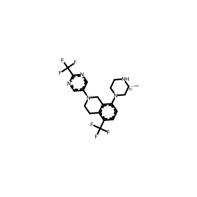 C[C@@H]1CN(c2ccc(C(F)(F)F)c3c2CN(c2cnc(C(F)(F)F)nc2)CC3)CCN1